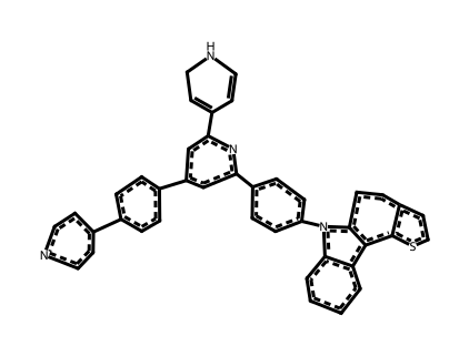 C1=CC(c2cc(-c3ccc(-c4ccncc4)cc3)cc(-c3ccc(-n4c5ccccc5c5c6sccc6ccc54)cc3)n2)=CCN1